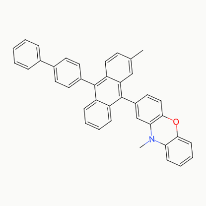 Cc1ccc2c(-c3ccc(-c4ccccc4)cc3)c3ccccc3c(-c3ccc4c(c3)N(C)c3ccccc3O4)c2c1